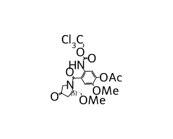 COC[C@@H]1CC(=O)CN1C(=O)c1cc(OC)c(OC(C)=O)cc1NC(=O)OCC(Cl)(Cl)Cl